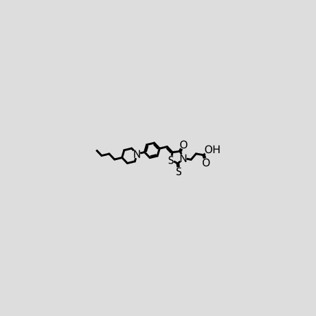 CCCCC1CCN(c2ccc(/C=C3\SC(=S)N(CCC(=O)O)C3=O)cc2)CC1